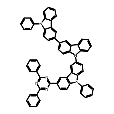 c1ccc(-c2nc(-c3ccccc3)nc(-c3ccc4c(c3)c3cc(-n5c6ccccc6c6cc(-c7ccc8c(c7)c7ccccc7n8-c7ccccc7)ccc65)ccc3n4-c3ccccc3)n2)cc1